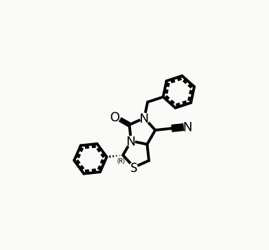 N#CC1C2CS[C@H](c3ccccc3)N2C(=O)N1Cc1ccccc1